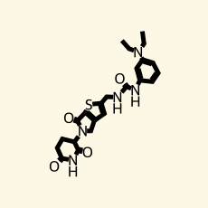 CCN(CC)c1cccc(NC(=O)NCc2cc3c(s2)C(=O)N(C2CCC(=O)NC2=O)C3)c1